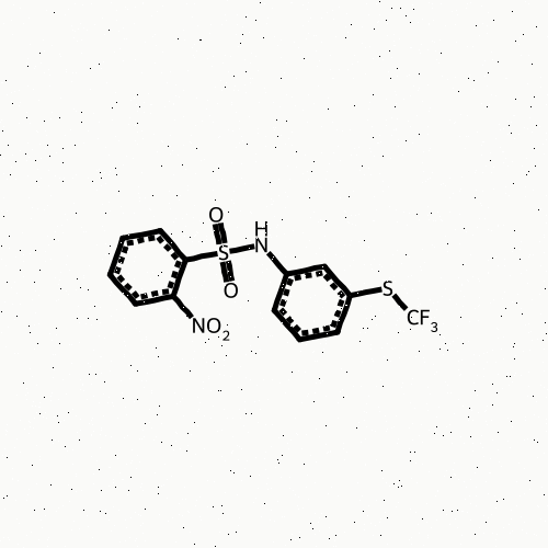 O=[N+]([O-])c1ccccc1S(=O)(=O)Nc1cccc(SC(F)(F)F)c1